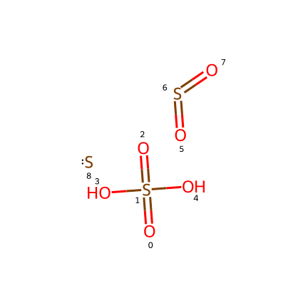 O=S(=O)(O)O.O=S=O.[S]